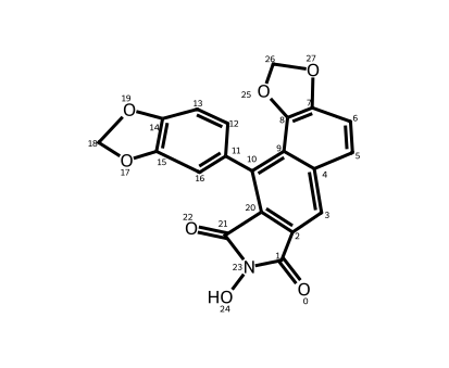 O=C1c2cc3ccc4c(c3c(-c3ccc5c(c3)OCO5)c2C(=O)N1O)OCO4